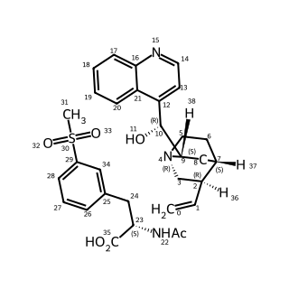 C=C[C@H]1C[N@]2CC[C@H]1C[C@H]2[C@H](O)c1ccnc2ccccc12.CC(=O)N[C@@H](Cc1cccc(S(C)(=O)=O)c1)C(=O)O